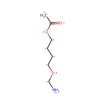 CC(=O)OCCCCOCN